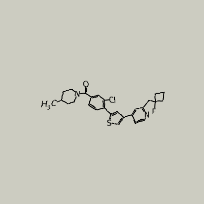 CC1CCN(C(=O)c2ccc(-c3cc(-c4ccnc(CC5(F)CCC5)c4)cs3)c(Cl)c2)CC1